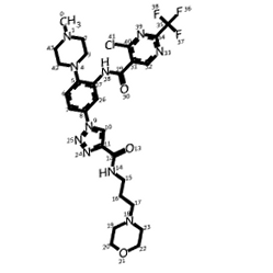 CN1CCN(c2ccc(-n3cc(C(=O)NCCCN4CCOCC4)nn3)cc2NC(=O)c2cnc(C(F)(F)F)nc2Cl)CC1